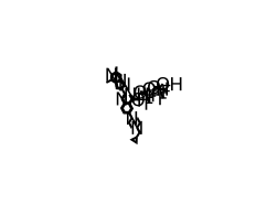 Cc1cn2nc(-c3nc4ccc(N5CCN(CC6CC6)CC5)cc4c(=O)[nH]3)cc2c(C)n1.O=C(O)C(F)(F)F.O=C(O)C(F)(F)F